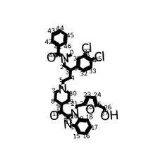 CN(CC(CCN1CCC(C(=O)c2nc3ccccc3n2Cc2ccc(CO)o2)CC1)c1ccc(Cl)c(Cl)c1)C(=O)c1ccccc1